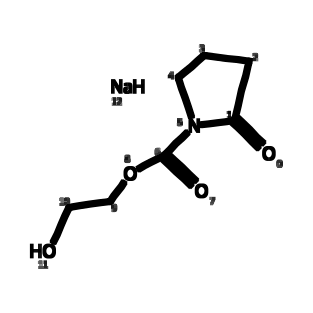 O=C1CCCN1C(=O)OCCO.[NaH]